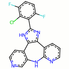 Fc1ccc(F)c(-c2nc3c([nH]2)-c2ccncc2Nc2ncccc2-3)c1Cl